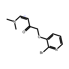 CN(C)/C=C\C(=O)COc1cccnc1Br